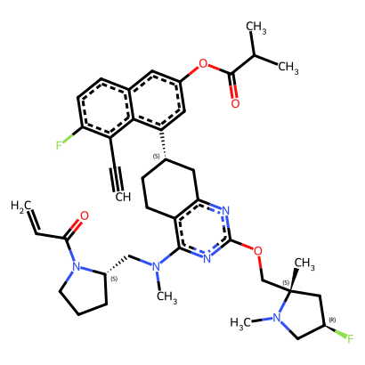 C#Cc1c(F)ccc2cc(OC(=O)C(C)C)cc([C@H]3CCc4c(nc(OC[C@]5(C)C[C@@H](F)CN5C)nc4N(C)C[C@@H]4CCCN4C(=O)C=C)C3)c12